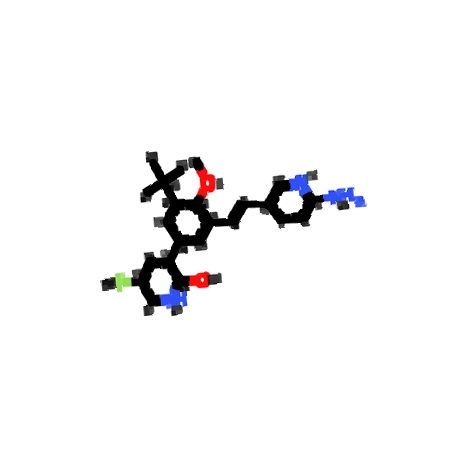 COc1c(/C=C/c2ccc(N)nc2)cc(-c2cc(F)c[nH]c2=O)cc1C(C)(C)C